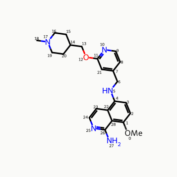 COc1ccc(NCc2ccnc(OCC3CCN(C)CC3)c2)c2ccnc(N)c12